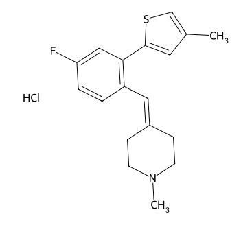 Cc1csc(-c2cc(F)ccc2C=C2CCN(C)CC2)c1.Cl